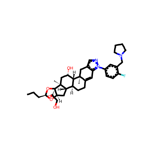 CCC[C@@H]1O[C@@H]2C[C@H]3[C@@H]4CCC5=Cc6c(cnn6-c6ccc(F)c(CN7CCCC7)c6)C[C@]5(C)[C@H]4[C@@H](O)C[C@]3(C)[C@]2(C(=O)CO)O1